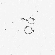 On1ccnc1.c1ccncc1